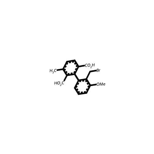 COc1cccc(-c2c(C(=O)O)ccc(C)c2C(=O)O)c1CBr